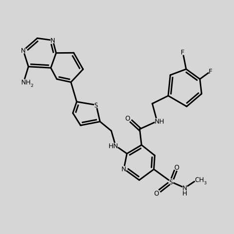 CNS(=O)(=O)c1cnc(NCc2ccc(-c3ccc4ncnc(N)c4c3)s2)c(C(=O)NCc2ccc(F)c(F)c2)c1